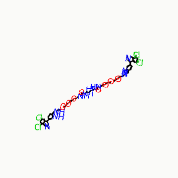 CN1Cc2c(Cl)cc(Cl)cc2C(C2=CC(=N)/C(=C\NCCOCCOCCOCCNC(=O)NCCCCNC(=O)NCCOCCOCCOCCn3cc4ccc(C5CN(C)Cc6c(Cl)cc(Cl)cc65)cc4n3)C=C2)C1